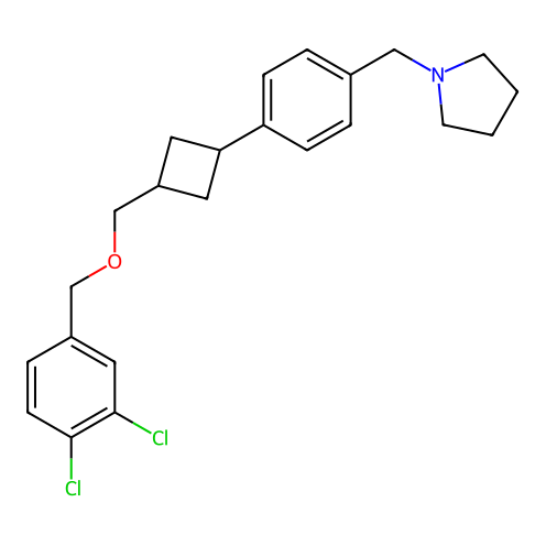 Clc1ccc(COCC2CC(c3ccc(CN4CCCC4)cc3)C2)cc1Cl